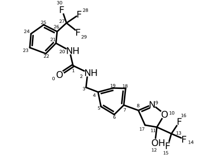 O=C(NCc1ccc(C2=NOC(O)(C(F)(F)F)C2)cc1)Nc1ccccc1C(F)(F)F